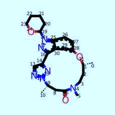 C[C@@H]1CCN(C)C(=O)C[C@H](C)n2ncc(n2)-c2nn(C3CCCCO3)c3ccc(cc23)O1